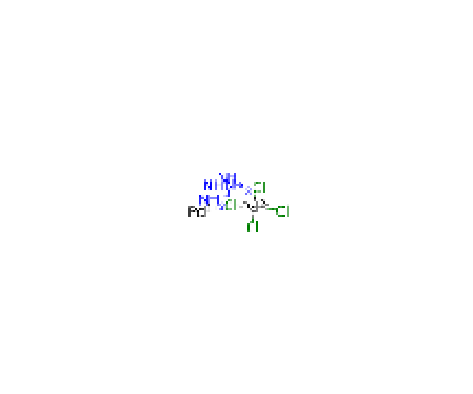 N.N.N.N.[Cl][Pd-2]([Cl])([Cl])[Cl].[Pd+2]